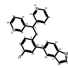 Fc1ccc(CC(c2cccnc2)c2cccnc2)c(-c2ccc3[nH]ccc3c2)c1